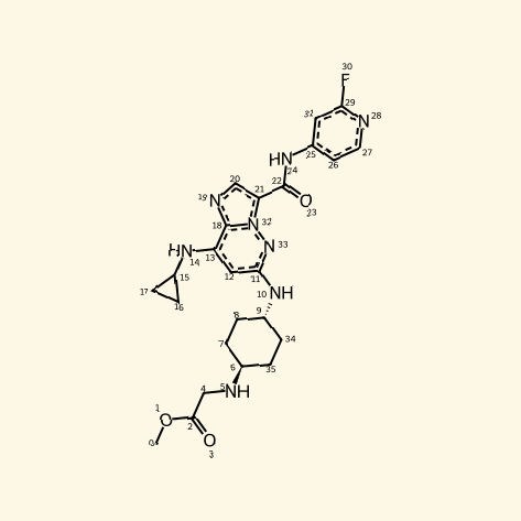 COC(=O)CN[C@H]1CC[C@H](Nc2cc(NC3CC3)c3ncc(C(=O)Nc4ccnc(F)c4)n3n2)CC1